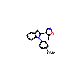 COc1ccc(-n2c(-c3cnoc3C)cc3ccccc32)cc1